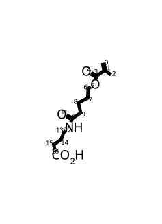 C=C(C)C(=O)OCCCCC(=O)NCCCC(=O)O